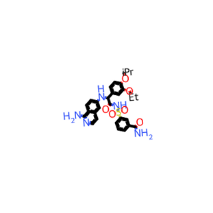 CCOc1cc(C(Nc2ccc3c(N)nccc3c2)C(=O)NS(=O)(=O)c2cccc(C(N)=O)c2)ccc1OC(C)C